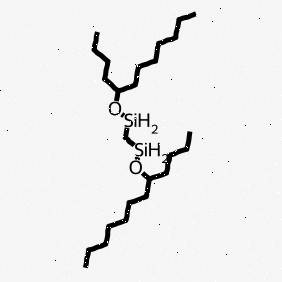 CCCCCCCC(CCCC)O[SiH2]C[SiH2]OC(CCCC)CCCCCCC